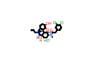 C=CCN1CC[C@]23c4c5ccc(O)c4O[C@H]2[C@H](N(C)C(=O)Cc2ccc(Cl)c(Cl)c2)CC[C@@]3(O)[C@H]1C5.Cl